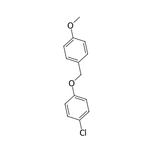 COc1ccc(COc2ccc(Cl)cc2)cc1